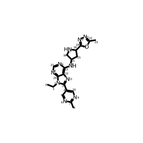 CCn1c(-c2cnc(C)nc2)nc2c(NC3CNC(c4nnc(C)o4)C3)ncnc21